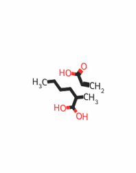 C=CC(=O)O.CCCCC(C)C(O)O